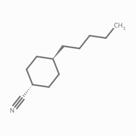 CCCCC[C@H]1CC[C@H](C#N)CC1